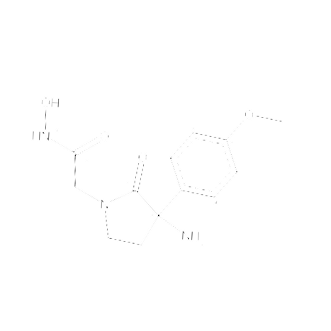 COc1ccc(C2(N)CCN(CC(=O)NO)C2=O)cc1